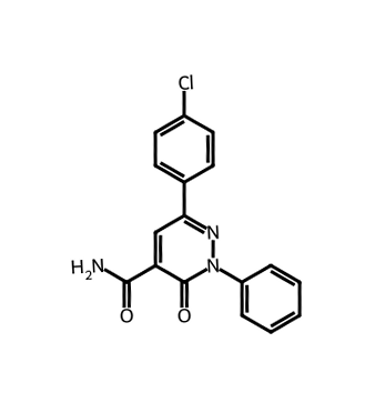 NC(=O)c1cc(-c2ccc(Cl)cc2)nn(-c2ccccc2)c1=O